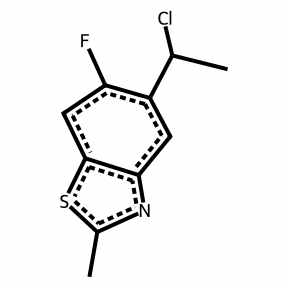 Cc1nc2cc(C(C)Cl)c(F)cc2s1